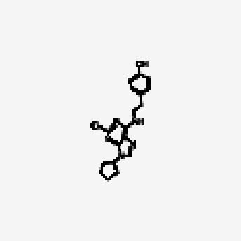 Oc1ccc(CCNc2nc(Cl)nc3c2ncn3C2CCCC2)cc1